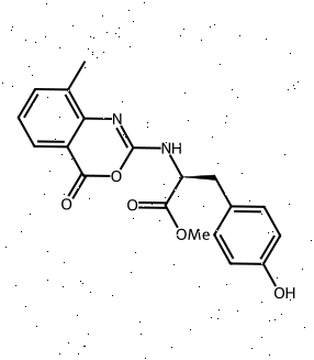 COC(=O)[C@H](Cc1ccc(O)cc1)Nc1nc2c(C)cccc2c(=O)o1